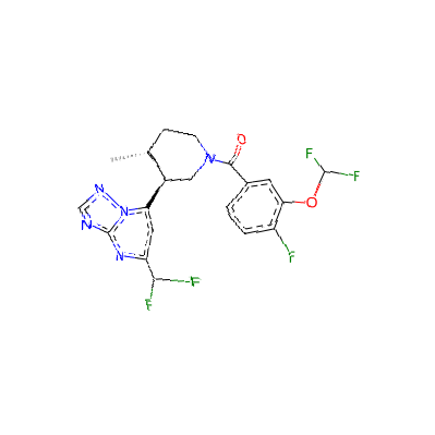 C[C@@H]1CCN(C(=O)c2ccc(F)c(OC(F)F)c2)C[C@H]1c1cc(C(F)F)nc2ncnn12